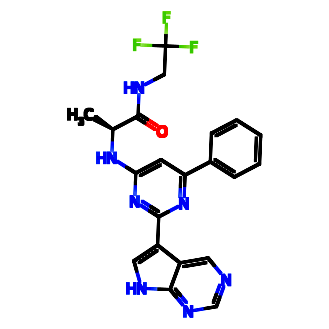 C[C@H](Nc1cc(-c2ccccc2)nc(-c2c[nH]c3ncncc23)n1)C(=O)NCC(F)(F)F